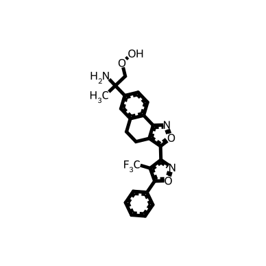 CC(N)(COO)c1ccc2c(c1)CCc1c-2noc1-c1noc(-c2ccccc2)c1C(F)(F)F